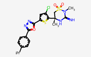 CC(C)c1ccc(-c2nnc(-c3cc(Cl)c([C@]4(C)CS(=O)(=O)N(C)C(=N)N4)s3)o2)cc1